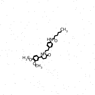 CCCCCC(=O)Nc1ccc(CCN2N=C(c3ccc(OC)c(OC)c3)CCC2=O)cc1